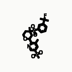 Cc1cc(S(C)(=O)=O)cnc1C1CC(C)(S(=O)(=O)c2cccc(C(C)(C)F)c2)CCO1